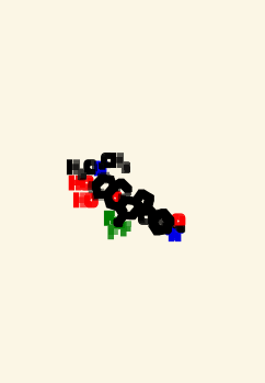 CN(C)[C@H]1C[C@@]23CC[C@@]4(O2)C(=C(C(F)(F)F)C[C@]2(C)C(c5ccc6ncoc6c5)=CCC24)C=C3[C@@H](O)[C@@H]1O